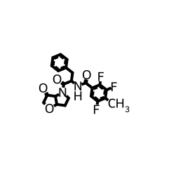 Cc1c(F)cc(C(=O)NC(Cc2ccccc2)C(=O)N2CCC3OCC(=O)C32)c(F)c1F